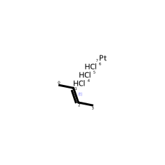 C/C=C/C.Cl.Cl.Cl.[Pt]